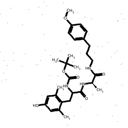 COc1ccc(CCCNC(=O)[C@@H](C)NC(=O)C(Cc2c(C)cc(O)cc2C)NC(=O)OC(C)(C)C)cc1